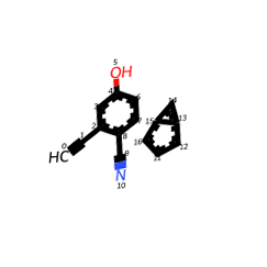 C#Cc1cc(O)ccc1C#N.c1cc2cc-2c1